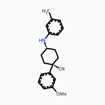 COc1cccc([C@]2(C#N)CC[C@@H](Nc3cccc(C)c3)CC2)c1